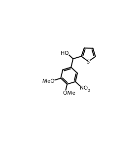 COc1cc(C(O)c2cccs2)cc([N+](=O)[O-])c1OC